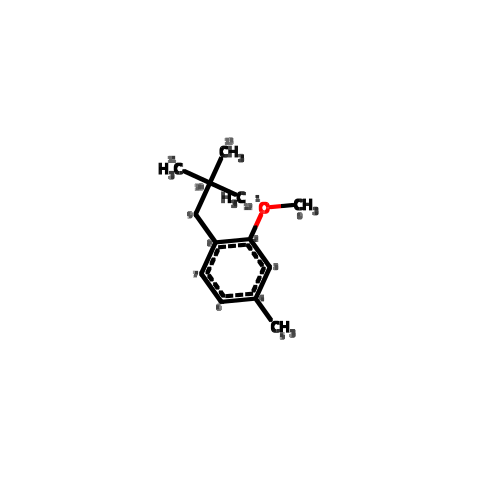 COc1cc(C)ccc1CC(C)(C)C